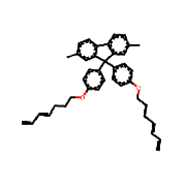 C=C/C=C/CCCOc1ccc(C2(c3ccc(OCCC/C=C/C=C)cc3)c3cc(C)ccc3-c3ccc(C)cc32)cc1